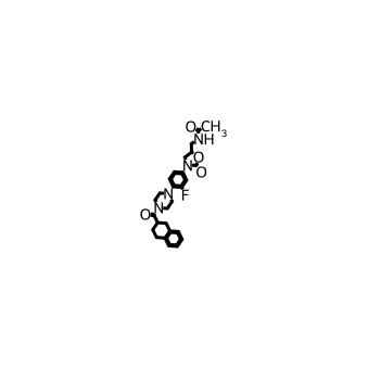 CC(=O)NCC1CN(c2ccc(N3CCN(C(=O)C4CCc5ccccc5C4)CC3)c(F)c2)C(=O)O1